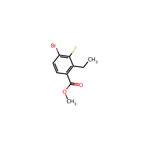 CCc1c(C(=O)OC)ccc(Br)c1F